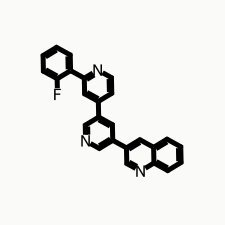 Fc1ccccc1-c1cc(-c2cncc(-c3cnc4ccccc4c3)c2)ccn1